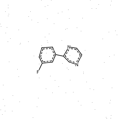 Fc1cccc(-c2cnccn2)c1